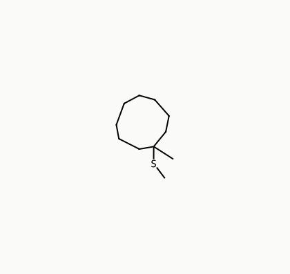 CSC1(C)CCCCCCCC1